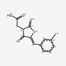 O=C(O)CN1C(=O)C(=Cc2cccc(I)c2)SC1=S